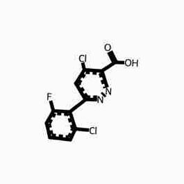 O=C(O)c1nnc(-c2c(F)cccc2Cl)cc1Cl